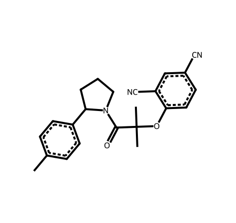 Cc1ccc(C2CCCN2C(=O)C(C)(C)Oc2ccc(C#N)cc2C#N)cc1